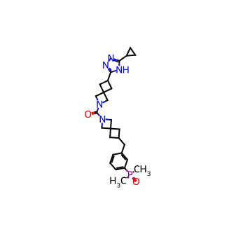 CP(C)(=O)c1cccc(CC2CC3(C2)CN(C(=O)N2CC4(CC(c5nnc(C6CC6)[nH]5)C4)C2)C3)c1